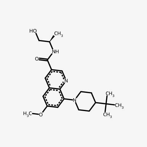 COc1cc(N2CCC(C(C)(C)C)CC2)c2ncc(C(=O)N[C@H](C)CO)cc2c1